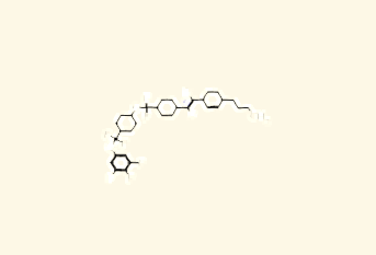 CCCCC1C=CC(/C(F)=C(\F)C2CCC(C(F)(F)OC3CCC(C(F)(F)Oc4cc(F)c(F)c(F)c4)CC3)CC2)CC1